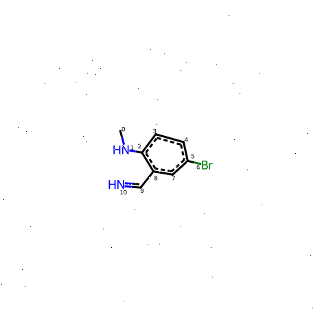 CNc1ccc(Br)cc1C=N